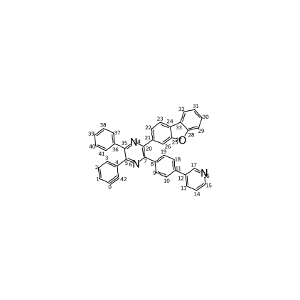 c1cccc(-c2nc(-c3ccc(-c4cccnc4)cc3)c(-c3ccc4c(c3)oc3ccccc34)nc2-c2ccccc2)c#1